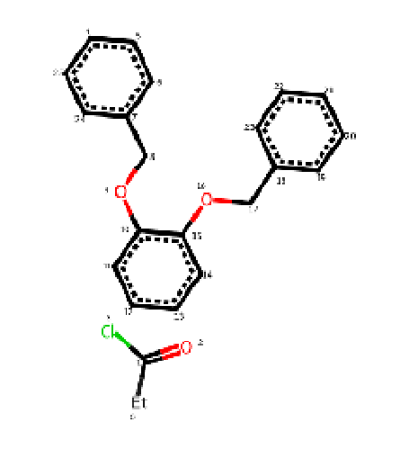 CCC(=O)Cl.c1ccc(COc2ccccc2OCc2ccccc2)cc1